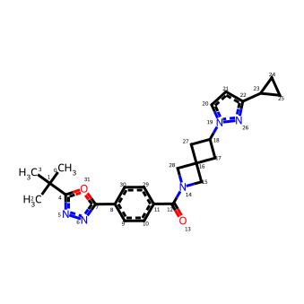 CC(C)(C)c1nnc(-c2ccc(C(=O)N3CC4(CC(n5ccc(C6CC6)n5)C4)C3)cc2)o1